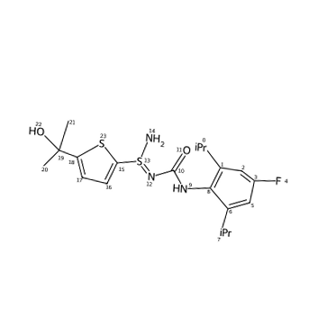 CC(C)c1cc(F)cc(C(C)C)c1NC(=O)/N=S(\N)c1ccc(C(C)(C)O)s1